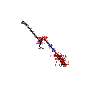 CCCCCCCCCCCCCC[C@@H](O)[C@@H](O)[C@H](COC1OC(COCCCCCCNC(=O)CCCCC(=O)NCCOC2OC(CO)C(OC3OC(C(=O)O)C(O)C(OC4OC(CO)C(OC5OC(C(=O)O)C(O)C(O)C5O)C(O)C4O)C3O)C(O)C2O)C(O)C(O)C1O)NC(=O)CCCCCCCCCCCCCCCCCCCCCCCCc1ccccc1